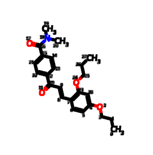 CCCOc1ccc(C=CC(=O)c2ccc(C(=O)N(C)C)cc2)c(OCCC)c1